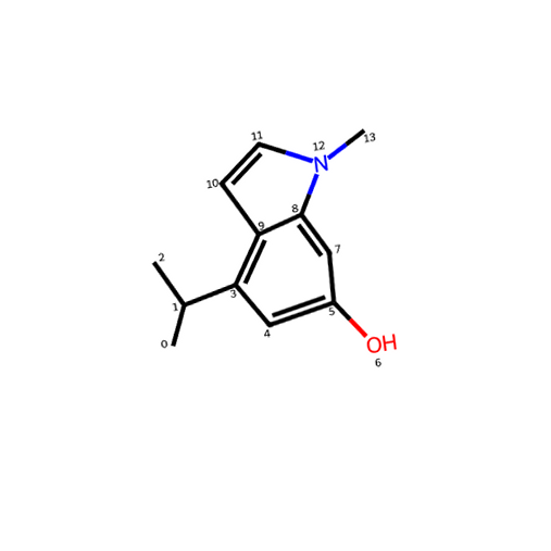 CC(C)c1cc(O)cc2c1ccn2C